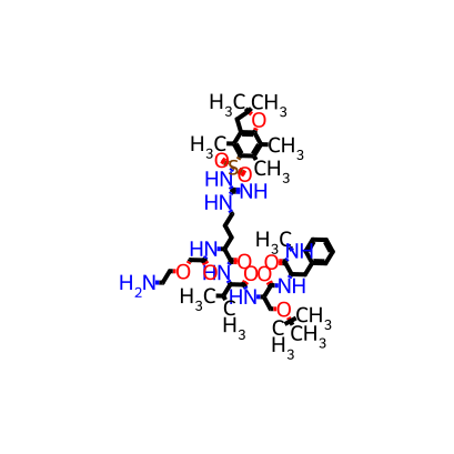 CNC(=O)C(Cc1ccccc1)NC(=O)C(COC(C)(C)C)NC(=O)C(NC(=O)C(CCCNC(=N)NS(=O)(=O)c1c(C)c(C)c2c(c1C)CC(C)(C)O2)NC(=O)COCCN)C(C)C